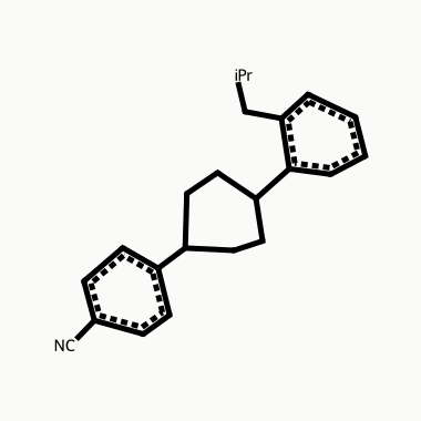 CC(C)Cc1ccccc1C1CCC(c2ccc(C#N)cc2)CC1